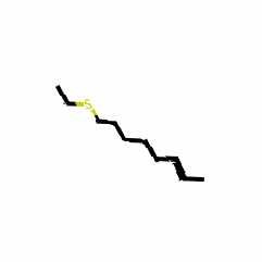 C[CH]SCCCCC/C=C/C